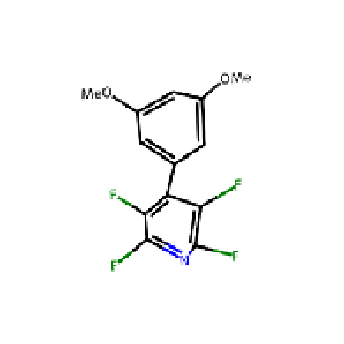 COc1cc(OC)cc(-c2c(F)c(F)nc(F)c2F)c1